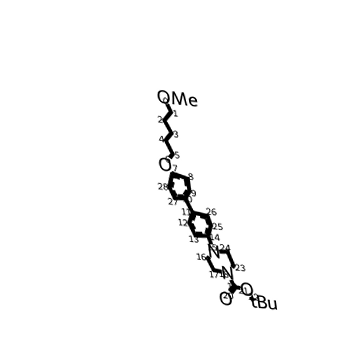 COCCCCCOc1ccc(-c2ccc(N3CCN(C(=O)OC(C)(C)C)CC3)cc2)cc1